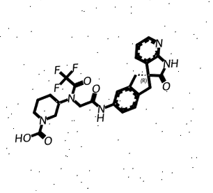 O=C(CN(C(=O)C(F)(F)F)C1CCCN(C(=O)O)C1)Nc1ccc2c(c1)C[C@@]1(C2)C(=O)Nc2ncccc21